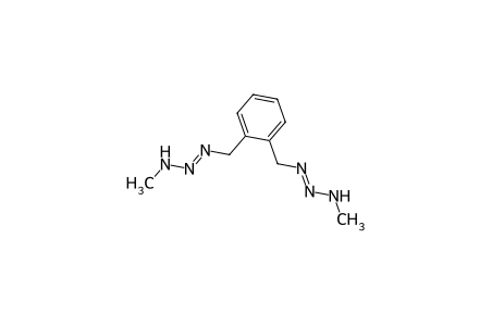 CNN=NCc1ccccc1CN=NNC